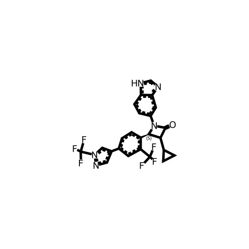 O=C1C(C2CC2)[C@@H](c2ccc(-c3cnn(C(F)(F)F)c3)cc2C(F)(F)F)N1c1ccc2[nH]cnc2c1